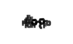 CCc1c(-c2ccc(C(O)(C(F)(F)F)C(F)(F)F)cc2)ccc(C=O)c1F